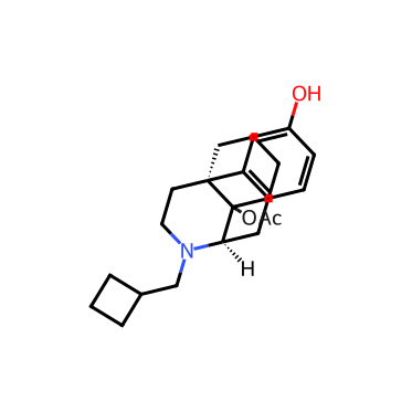 CC(=O)OC12CCCC[C@@]13CCN(CC1CCC1)[C@@H]2Cc1ccc(O)cc13